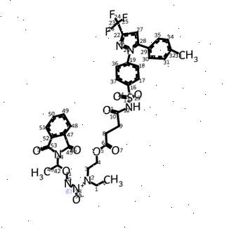 CCN(CCOC(=O)CCC(=O)NS(=O)(=O)c1ccc(-n2nc(C(F)(F)F)cc2-c2ccc(C)cc2)cc1)/[N+]([O-])=N\OC(C)N1C(=O)c2ccccc2C1=O